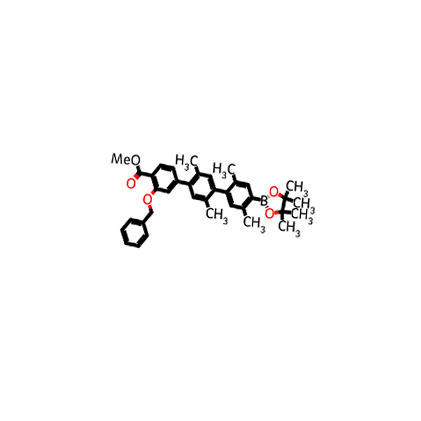 COC(=O)c1ccc(-c2cc(C)c(-c3cc(C)c(B4OC(C)(C)C(C)(C)O4)cc3C)cc2C)cc1OCc1ccccc1